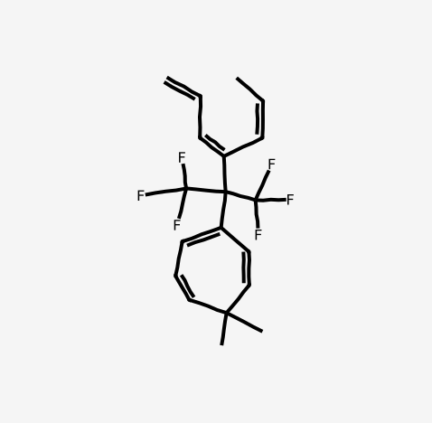 C=C/C=C(\C=C/C)C(C1=CC=CC(C)(C)C=C1)(C(F)(F)F)C(F)(F)F